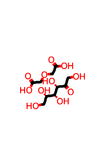 O=C(CO)[C@H](O)[C@@H](O)[C@H](O)CO.O=C(O)COCC(=O)O